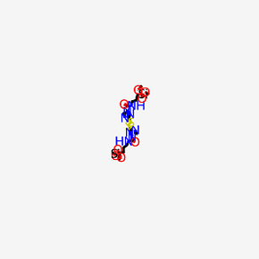 CO[Si](CCCNC(=O)n1cnc(SSc2ncn(C(=O)NCCC[Si](OC)(OC)OC)n2)n1)(OC)OC